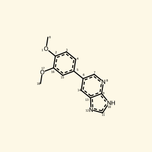 COc1ccc(-c2cnc3[nH][c]nc3c2)cc1OC